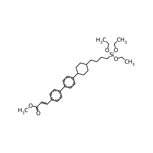 CCO[Si](CCCCC1CCC(c2ccc(-c3ccc(C=CC(=O)OC)cc3)cc2)CC1)(OCC)OCC